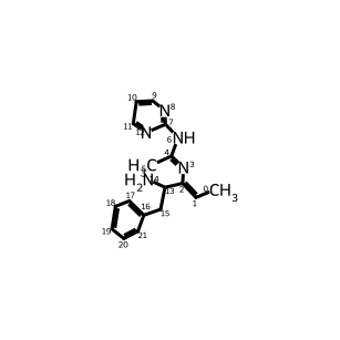 C/C=C(\N=C(/C)Nc1ncccn1)C(N)Cc1ccccc1